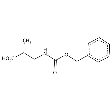 CC(CNC(=O)OCc1ccccc1)C(=O)O